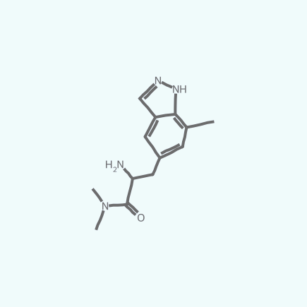 Cc1cc(CC(N)C(=O)N(C)C)cc2cn[nH]c12